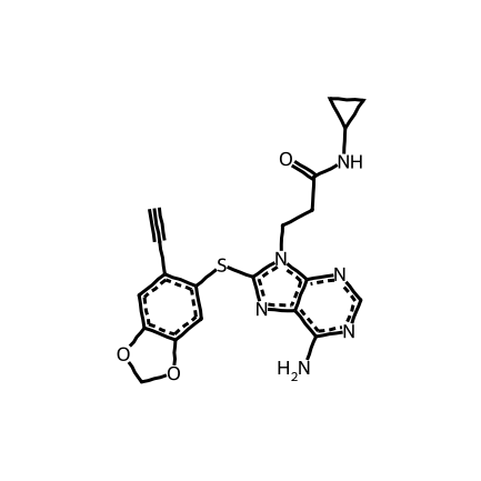 C#Cc1cc2c(cc1Sc1nc3c(N)ncnc3n1CCC(=O)NC1CC1)OCO2